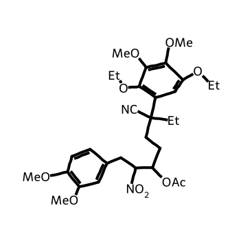 CCOc1cc(C(C#N)(CC)CCC(OC(C)=O)C(Cc2ccc(OC)c(OC)c2)[N+](=O)[O-])c(OCC)c(OC)c1OC